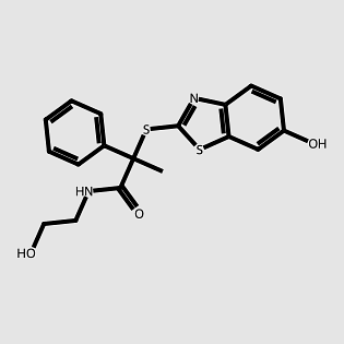 CC(Sc1nc2ccc(O)cc2s1)(C(=O)NCCO)c1ccccc1